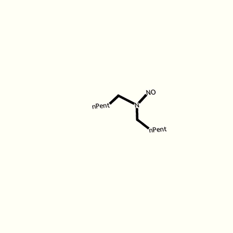 CCCCCCN(CCCCCC)N=O